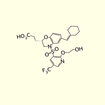 O=C(O)CC[C@H]1CN(S(=O)(=O)c2cc(C(F)(F)F)cnc2OCCO)c2cc(C=C3CCCCC3)ccc2O1